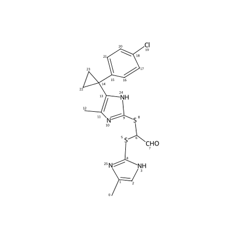 Cc1c[nH]c(SC(C=O)Sc2nc(C)c(C3(c4ccc(Cl)cc4)CC3)[nH]2)n1